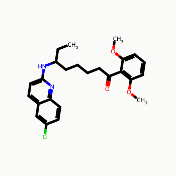 CCC(CCCCC(=O)c1c(OC)cccc1OC)Nc1ccc2cc(Cl)ccc2n1